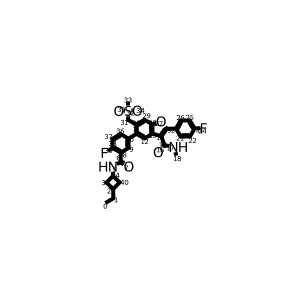 CCC1CC(NC(=O)c2cc(-c3cc4c(C(=O)NC)c(-c5ccc(F)cc5)oc4cc3CS(C)(=O)=O)ccc2F)C1